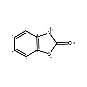 O=c1[nH]c2[c]cccc2s1